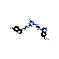 Cc1ccc2c(NCCNc3nc(Cl)nc(NCCNc4ccnc5cc(Cl)ccc45)n3)ccnc2c1